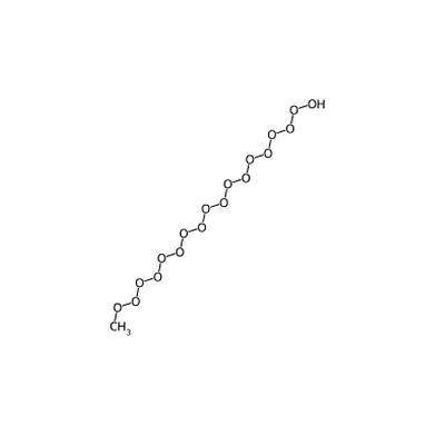 COOOOOOOOOOOOOOOOOO